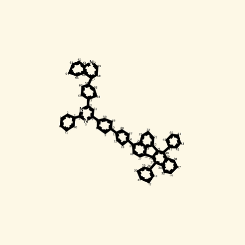 c1ccc(-c2nc(-c3ccc(-c4ccc(-c5ccc6c7c(cccc57)-c5c-6c(-c6ccccc6)c6ccccc6c5-c5ccccc5)cc4)cc3)cc(-c3ccc(-c4ccnc5ccccc45)cc3)n2)cc1